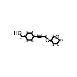 OCC1CCC(C#CCOC2CCCOC2)CC1